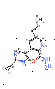 C=CCc1cnc(C(=O)NN)c(-c2cnc(C3CC3)nc2)c1